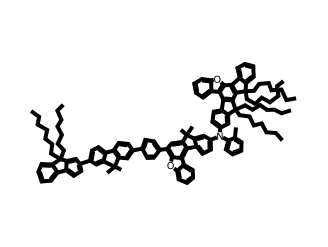 CCCCCCCC1(CCCCCCC)c2ccccc2-c2ccc(-c3ccc4c(c3)C(C)(C)c3cc(-c5ccc(-c6cc7c(c8c6oc6ccccc68)-c6ccc(N(c8ccc9c(c8)C(CCCCCCC)(CCCCCCC)c8c%10c(c%11oc%12ccccc%12c%11c8-9)-c8ccccc8C%10(CCCCCCC)CCCCCCC)c8ccccc8C)cc6C7(C)C)cc5)ccc3-4)cc21